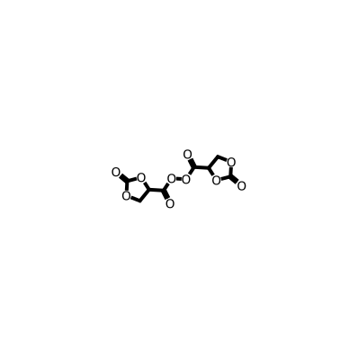 O=C1OCC(C(=O)OOC(=O)C2COC(=O)O2)O1